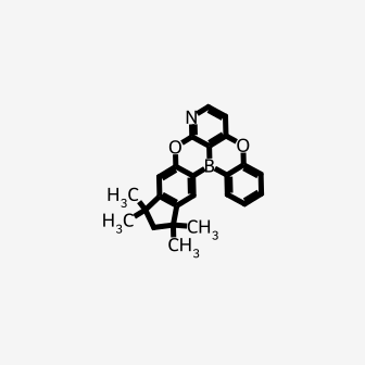 CC1(C)CC(C)(C)c2cc3c(cc21)Oc1nccc2c1B3c1ccccc1O2